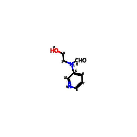 O=CN(CCO)c1cccnc1